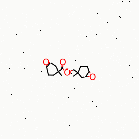 CC1(COC(=O)C2(C)CCC3OC3C2)CCC2OC2C1